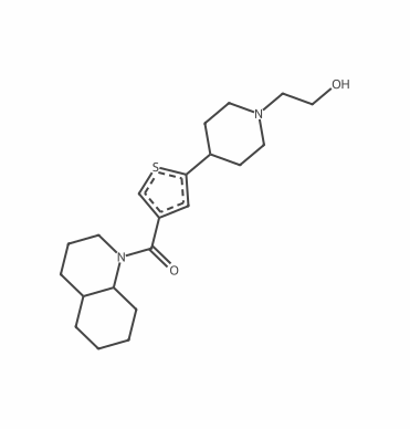 O=C(c1csc(C2CCN(CCO)CC2)c1)N1CCCC2CCCCC21